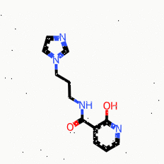 O=C(NCCCn1ccnc1)c1cccnc1O